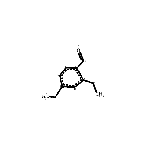 CCc1ccc([C]=O)c(CC)c1